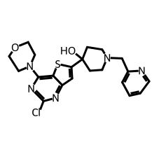 OC1(c2cc3nc(Cl)nc(N4CCOCC4)c3s2)CCN(Cc2ccccn2)CC1